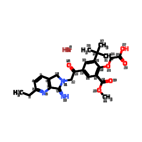 Br.CCc1ccc2c(n1)C(=N)N(CC(=O)c1cc(C(=O)OC)c(OCC(=O)O)c(C(C)(C)C)c1)C2